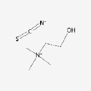 C[N+](C)(C)CCO.[N-]=C=S